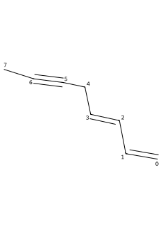 C=CC=CCC#CC